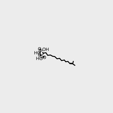 CC(C)=CCCCCCCCCCCCC(P(=O)(O)O)S(=O)(=O)O